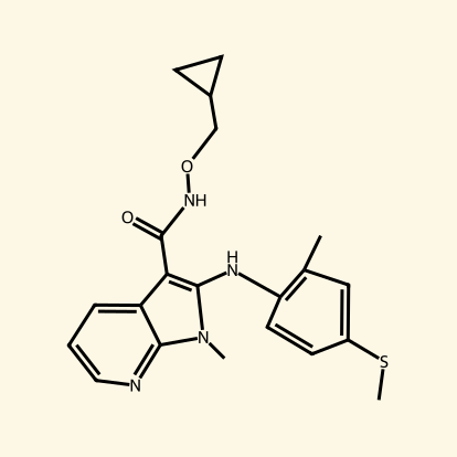 CSc1ccc(Nc2c(C(=O)NOCC3CC3)c3cccnc3n2C)c(C)c1